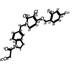 CC(=O)OCC(=O)N1CCc2cc(Cn3ccc(OCc4ccc(F)cc4F)c(Cl)c3=O)ccc21